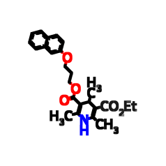 CCOC(=O)C1=C(C)NC(C)=C(C(=O)OCCCOc2ccc3ccccc3c2)C1C